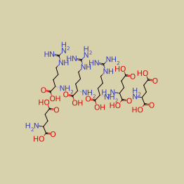 N=C(N)NCCC[C@H](N)C(=O)O.N=C(N)NCCC[C@H](N)C(=O)O.N=C(N)NCCC[C@H](N)C(=O)O.N[C@@H](CCC(=O)O)C(=O)O.N[C@@H](CCC(=O)O)C(=O)O.N[C@@H](CCC(=O)O)C(=O)O